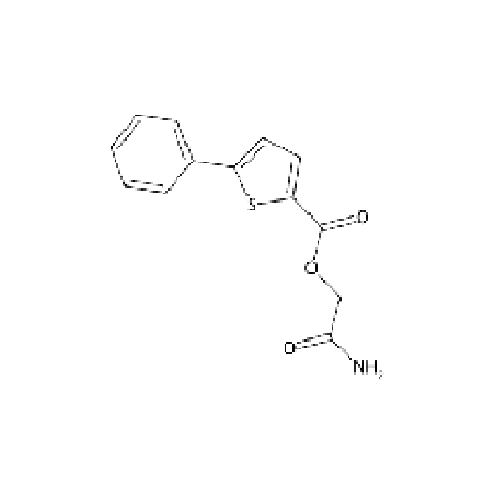 NC(=O)COC(=O)c1ccc(-c2ccccc2)s1